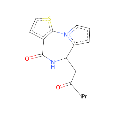 CC(C)C(=O)CC1NC(=O)c2ccsc2-n2cccc21